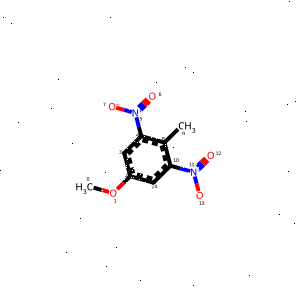 COc1cc([N+](=O)[O-])c(C)c([N+](=O)[O-])c1